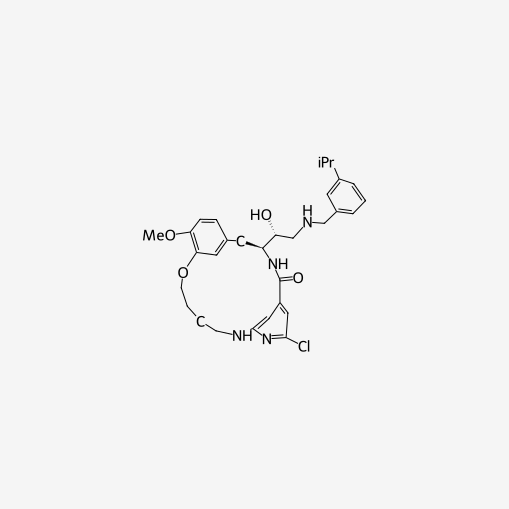 COc1ccc2cc1OCCCCNc1cc(cc(Cl)n1)C(=O)N[C@H]([C@H](O)CNCc1cccc(C(C)C)c1)C2